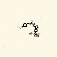 CCC[CH2][Sn]([CH2]CCC)([CH2]CCC)[c]1cn2cnc(CNC(=O)OCc3ccc([N+](=O)[O-])cc3)c2s1